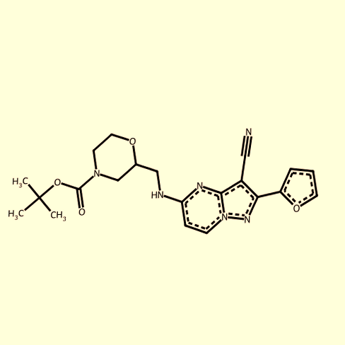 CC(C)(C)OC(=O)N1CCOC(CNc2ccn3nc(-c4ccco4)c(C#N)c3n2)C1